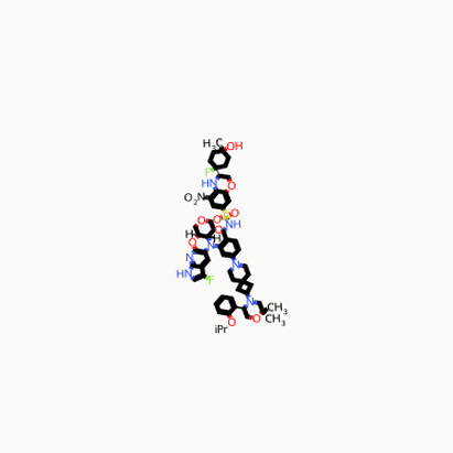 CC(C)Oc1ccccc1[C@@H]1COC(C)(C)CN1C1CC2(CCN(c3ccc(C(=O)NS(=O)(=O)c4cc5c(c([N+](=O)[O-])c4)N[C@H](C4(F)CCC(C)(O)CC4)CO5)c(N4c5cc6c(F)c[nH]c6nc5O[C@H]5COCC[C@@H]54)c3)CC2)C1